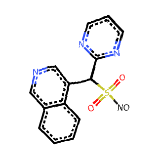 O=NS(=O)(=O)C(c1ncccn1)c1cncc2ccccc12